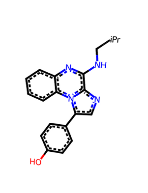 CC(C)CNc1nc2ccccc2n2c(-c3ccc(O)cc3)cnc12